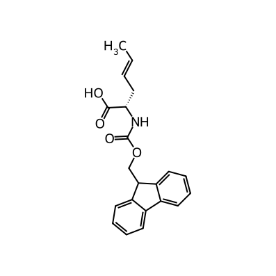 C/C=C/C[C@H](NC(=O)OCC1c2ccccc2-c2ccccc21)C(=O)O